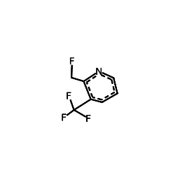 FCc1ncccc1C(F)(F)F